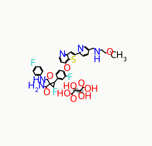 COCCNCc1ccc(-c2cc3nccc(Oc4ccc(C5C(F)C5(C(N)=O)C(=O)Nc5ccc(F)cc5)cc4F)c3s2)nc1.O=C(O)[C@H](O)[C@@H](O)C(=O)O